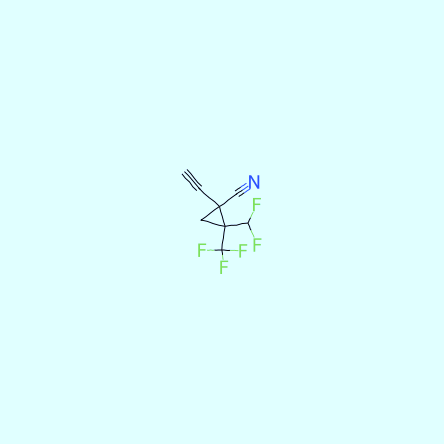 C#CC1(C#N)CC1(C(F)F)C(F)(F)F